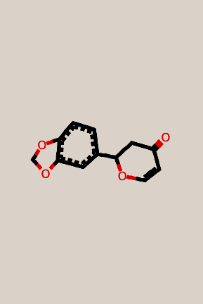 O=C1C=COC(c2ccc3c(c2)OCO3)C1